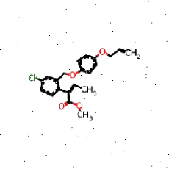 C=CCOc1ccc(OCc2cc(Cl)ccc2C(=CC)C(=O)OC)cc1